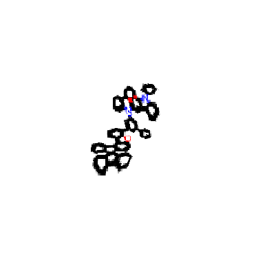 C1=C2C(=CCC1)C1(c3ccccc32)c2ccccc2-c2c1ccc1oc3c(-c4cc(-c5ccccc5)cc(N(c5ccc6c(c5)c5ccccc5n6-c5ccccc5)c5ccccc5-c5ccccc5)c4)cccc3c21